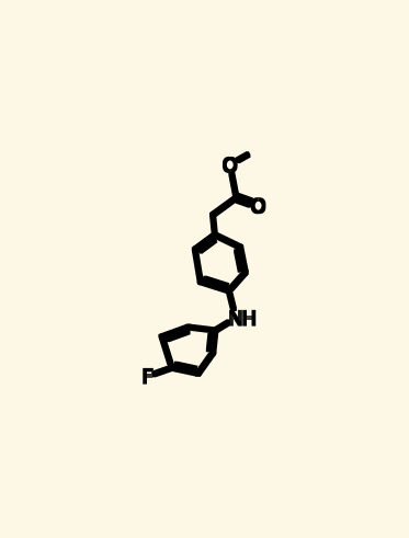 COC(=O)Cc1ccc(Nc2ccc(F)cc2)cc1